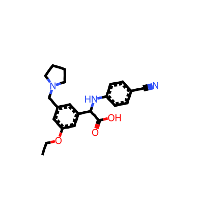 CCOc1cc(CN2CCCC2)cc(C(Nc2ccc(C#N)cc2)C(=O)O)c1